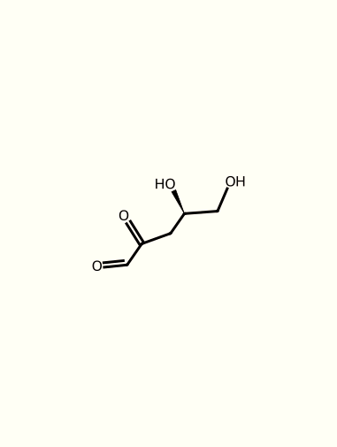 O=CC(=O)C[C@@H](O)CO